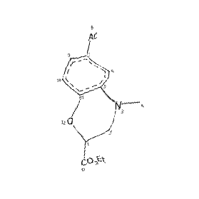 CCOC(=O)C1CN(C)c2cc(C(C)=O)ccc2O1